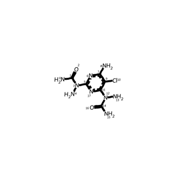 NC(=O)N(N)c1nc(N)c(Cl)c(N(N)C(N)=O)n1